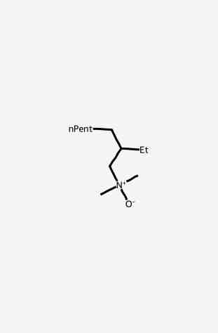 CCCCCCC(CC)C[N+](C)(C)[O-]